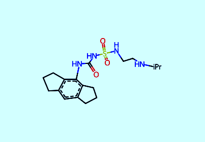 CC(C)NCCNS(=O)(=O)NC(=O)Nc1c2c(cc3c1CCC3)CCC2